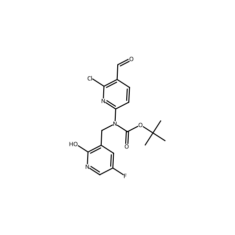 CC(C)(C)OC(=O)N(Cc1cc(F)cnc1O)c1ccc(C=O)c(Cl)n1